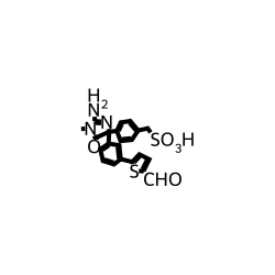 CN1C(=O)C(c2ccc(CS(=O)(=O)O)cc2)(c2cccc(-c3ccc(C=O)s3)c2)N=C1N